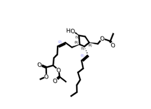 CCCCCC/C=C/[C@H]1[C@H](COC(C)=O)C[C@H](O)[C@@H]1C/C=C\CCC(OC(C)=O)C(=O)OC